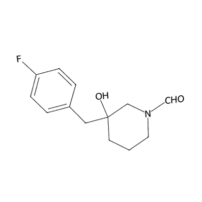 O=CN1CCCC(O)(Cc2ccc(F)cc2)C1